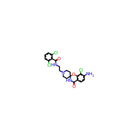 Nc1ccc2c(c1Cl)OC1(CCN(CCNC(=O)c3c(Cl)cccc3Cl)CC1)NC2=O